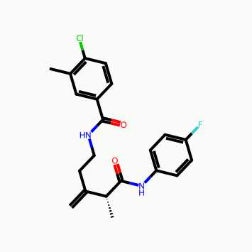 C=C(CCNC(=O)c1ccc(Cl)c(C)c1)[C@@H](C)C(=O)Nc1ccc(F)cc1